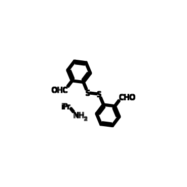 CC(C)N.O=Cc1ccccc1SSc1ccccc1C=O